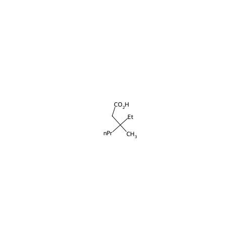 CCCC(C)(CC)CC(=O)O